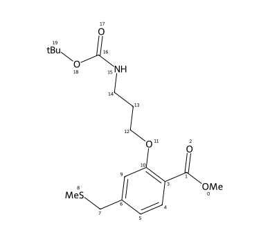 COC(=O)c1ccc(CSC)cc1OCCCNC(=O)OC(C)(C)C